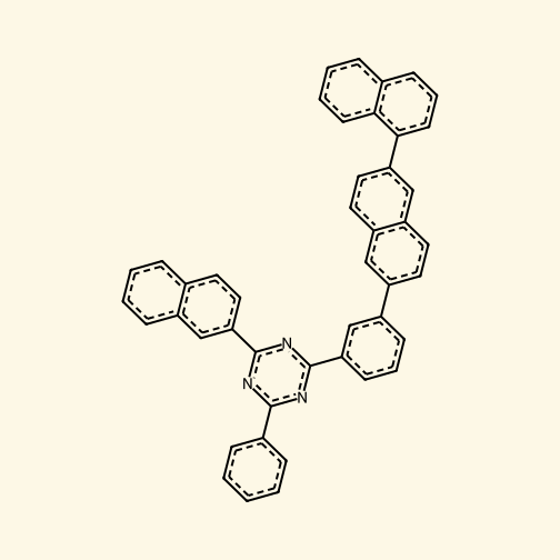 c1ccc(-c2nc(-c3cccc(-c4ccc5cc(-c6cccc7ccccc67)ccc5c4)c3)nc(-c3ccc4ccccc4c3)n2)cc1